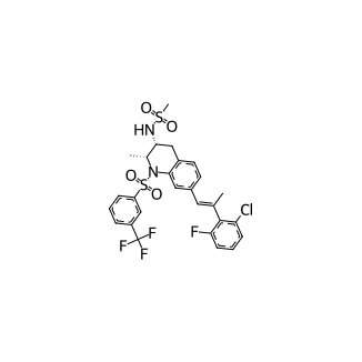 C/C(=C\c1ccc2c(c1)N(S(=O)(=O)c1cccc(C(F)(F)F)c1)[C@H](C)[C@H](NS(C)(=O)=O)C2)c1c(F)cccc1Cl